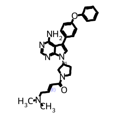 CN(C)C/C=C/C(=O)N1CC[C@@H](n2cc(-c3ccc(Oc4ccccc4)cc3)c3c(N)ncnc32)C1